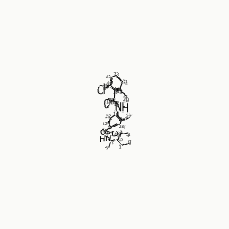 CCC(CC)[C@@H](C)NS(=O)(=O)c1ccc(NC(=O)c2c(C)cccc2Cl)c(C)c1